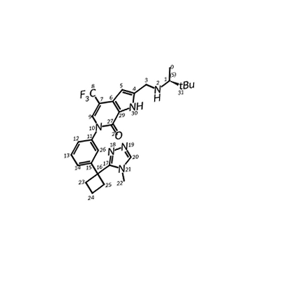 C[C@H](NCc1cc2c(C(F)(F)F)cn(-c3cccc(C4(c5nncn5C)CCC4)c3)c(=O)c2[nH]1)C(C)(C)C